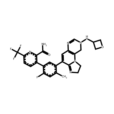 Cc1cc(F)c(-c2ccc(C(F)(F)F)nc2C(N)=O)cc1C1=CC2=C(CN(NC3COC3)C=N2)N2CCN=C12